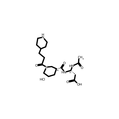 CC(=O)N[C@H](CC(=O)O)NC(=O)[C@@H]1CCCN(C(=O)CCC2CCNCC2)C1.Cl